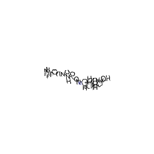 C[C@]12CC/C(=N\OCC(=O)NC(=O)NCc3ccc(C4(C(F)(F)F)N=N4)cc3)C[C@@H]1CC[C@@H]1[C@@H]2CC[C@]2(C)[C@@H](O)CC[C@@H]12